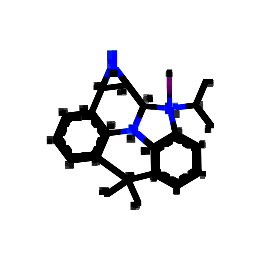 CC(C)[N+]1(I)c2cccc3c2N2c4c(cccc4C3(C)C)C3NC3C21